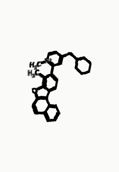 Cc1c(-c2cc(CC3CCCCC3)cc[n+]2C)ccc2c1oc1ccc3ccccc3c12